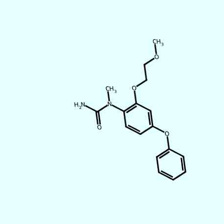 COCCOc1cc(Oc2ccccc2)ccc1N(C)C(N)=O